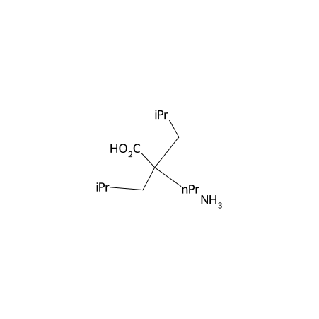 CCCC(CC(C)C)(CC(C)C)C(=O)O.N